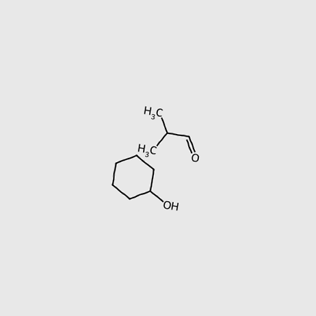 CC(C)C=O.OC1CCCCC1